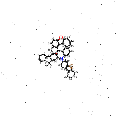 CC1(C)c2ccccc2-c2ccc(N(c3ccc4c(c3)sc3ccccc34)c3ccccc3-c3cccc4ccc5oc6ccccc6c5c34)cc21